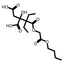 CCCCOC(=O)COC(=O)C(CC)(CC)C(O)(CC(=O)O)C(=O)O